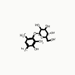 Cc1cc(C)c(O[C@@H]2OC(CO)[C@@H](O)C(O)C2O)c(C)c1O